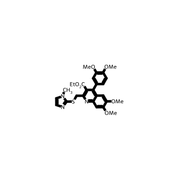 CCOC(=O)c1c(CSc2nccn2C)nc2cc(OC)c(OC)cc2c1-c1ccc(OC)c(OC)c1